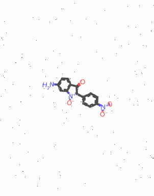 Nc1ccc2c(c1)[N+]([O-])=C(c1ccc([N+](=O)[O-])cc1)C2=O